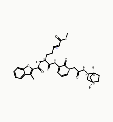 COC(=O)/C=C/CC[C@H](NC(=O)c1oc2ccccc2c1C)C(=O)Nc1cccn(CC(=O)N[C@@H]2C[C@@H]3CC[C@H]2C3)c1=O